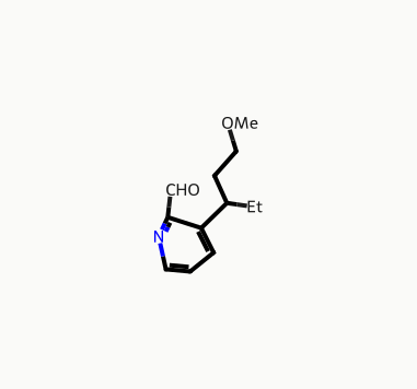 CCC(CCOC)c1cccnc1C=O